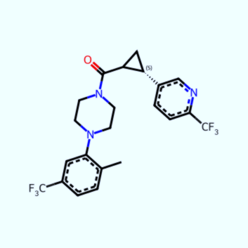 Cc1ccc(C(F)(F)F)cc1N1CCN(C(=O)C2C[C@@H]2c2ccc(C(F)(F)F)nc2)CC1